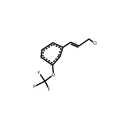 FC(F)(F)Oc1cccc(/C=C/CCl)c1